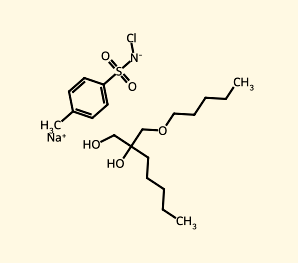 CCCCCOCC(O)(CO)CCCCC.Cc1ccc(S(=O)(=O)[N-]Cl)cc1.[Na+]